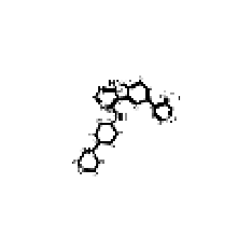 Cc1cnccc1-c1ccc2[nH]c3ncnc(NC4CCC(N5CCOCC5)CC4)c3c2c1